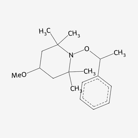 COC1CC(C)(C)N(OC(C)c2ccccc2)C(C)(C)C1